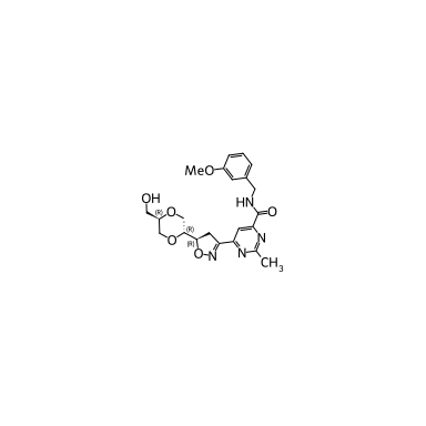 COc1cccc(CNC(=O)c2cc(C3=NO[C@@H]([C@H]4CO[C@H](CO)CO4)C3)nc(C)n2)c1